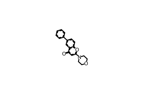 O=c1cc(N2CCOCC2)oc2ccc(-c3ccccc3)cc12